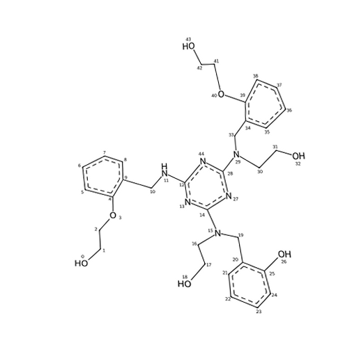 OCCOc1ccccc1CNc1nc(N(CCO)Cc2ccccc2O)nc(N(CCO)Cc2ccccc2OCCO)n1